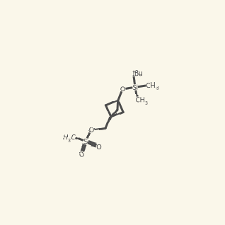 CC(C)(C)[Si](C)(C)OC12CC(COS(C)(=O)=O)(C1)C2